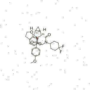 COc1ccc(S(=O)(=O)N2C[C@H]3C[C@H]3[C@@H]2C(=O)N(Cc2ccc3c(c2)OCC3)C2CCC(F)(F)CC2)cc1